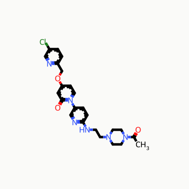 CC(=O)N1CCN(CCNc2ccc(-n3ccc(OCc4ccc(Cl)cn4)cc3=O)cn2)CC1